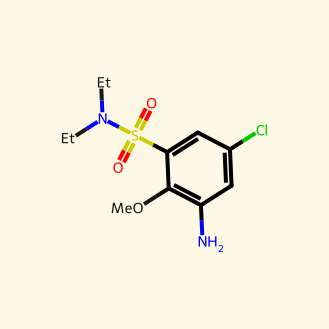 CCN(CC)S(=O)(=O)c1cc(Cl)cc(N)c1OC